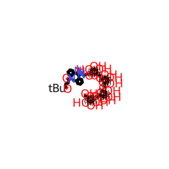 CC(C)(C)C(=O)CCC(=O)N1Cc2ccccc2-c2c(nnn2CCO[C@@H]2O[C@H](CO[C@@H]3O[C@H](CO[C@@H]4O[C@H](CO[C@@H]5O[C@H](CO)[C@@H](O)[C@H](O)[C@H]5O)[C@@H](O)[C@H](O)[C@H]4O)[C@@H](O)[C@H](O)[C@H]3O)[C@@H](O)[C@H](O)[C@H]2O)-c2ccccc21